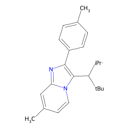 C[C](C)C(c1c(-c2ccc(C)cc2)nc2cc(C)ccn12)C(C)(C)C